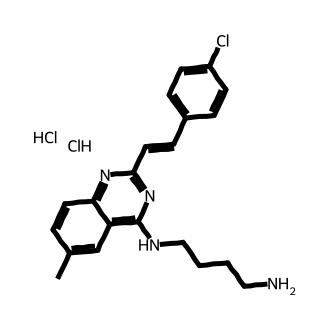 Cc1ccc2nc(C=Cc3ccc(Cl)cc3)nc(NCCCCN)c2c1.Cl.Cl